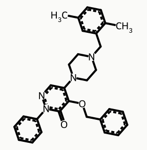 Cc1ccc(C)c(CN2CCN(c3cnn(-c4ccccc4)c(=O)c3OCc3ccccc3)CC2)c1